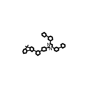 CC1(C)c2ccccc2-c2cc(-c3cccc(-c4ccc(-c5nc(-c6cccc(-c7ccccc7)c6)cc(-c6cccc(-c7ccccc7)c6)n5)cc4)c3)ccc21